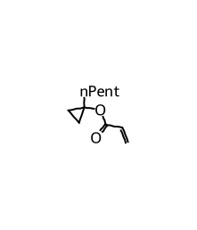 C=CC(=O)OC1(CCCCC)CC1